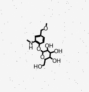 CNc1cc(COC)ccc1OC1OC(CO)C(O)C(O)C1O